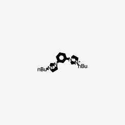 CCCC[n+]1ccn(-c2cccc(-n3cc[n+](CCCC)c3)c2)c1